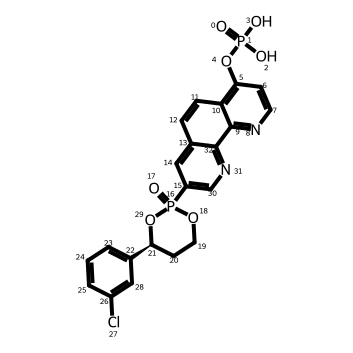 O=P(O)(O)Oc1ccnc2c1ccc1cc(P3(=O)OCC[C@@H](c4cccc(Cl)c4)O3)cnc12